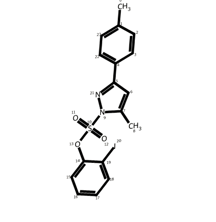 Cc1ccc(-c2cc(C)n(S(=O)(=O)Oc3ccccc3I)n2)cc1